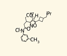 Cc1cccc(N(Cl)C(=O)CC(CC(=O)O)c2noc(C3CC(CC(C)C)C3)c2C2CC2)c1